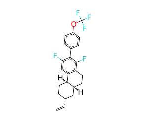 C=C[C@@H]1CC[C@@H]2c3cc(F)c(-c4ccc(OC(F)(F)F)cc4)c(F)c3CC[C@@H]2C1